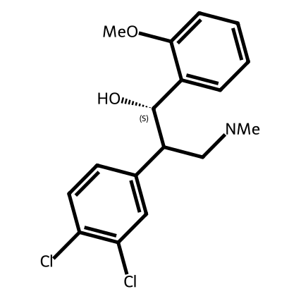 CNCC(c1ccc(Cl)c(Cl)c1)[C@H](O)c1ccccc1OC